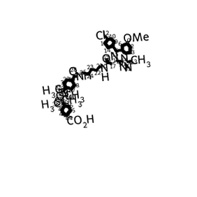 COc1ccc2c(c1)C(c1ccc(Cl)cc1)=N[C@@H](CC(=O)NCCCCCNC(=O)c1ccc([Si](C)(C)O[Si](C)(C)c3ccc(C(=O)O)cc3)cc1)c1nnc(C)n1-2